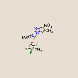 CON=C(COc1cc(F)c(F)c(C)c1F)Cn1cnc2cc([N+](=O)[O-])c(C)cc21